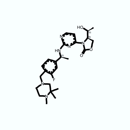 C[C@H](Nc1nccc(N2C(=O)OC[C@@H]2[C@H](C)O)n1)c1ccc(CN2CCN(C)C(C)(C)C2)c(F)c1